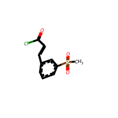 CS(=O)(=O)c1cccc(C=CC(=O)Cl)c1